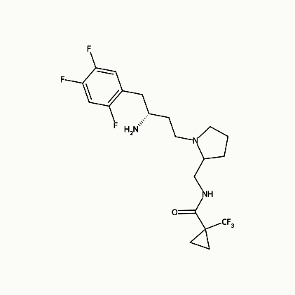 N[C@@H](CCN1CCCC1CNC(=O)C1(C(F)(F)F)CC1)Cc1cc(F)c(F)cc1F